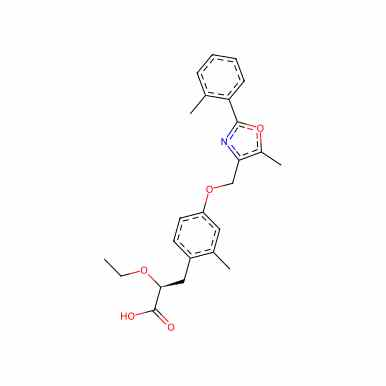 CCO[C@@H](Cc1ccc(OCc2nc(-c3ccccc3C)oc2C)cc1C)C(=O)O